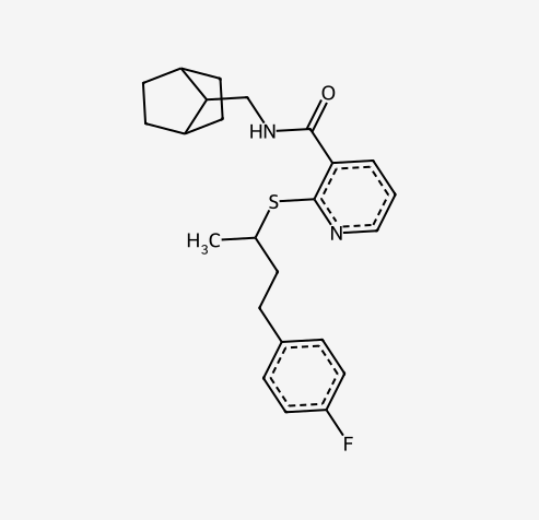 CC(CCc1ccc(F)cc1)Sc1ncccc1C(=O)NCC1C2CCC1CC2